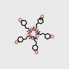 C[Si]1(CCC2CCC3OC3C2)O[Si](C)(CCC2CCC3OC3C2)O[Si](C)(CCC2CCC3OC3C2)O[Si](C)(CCC2CCC3O[C@H]3C2)O[Si](C)(CCC2CCC3OC3C2)O1